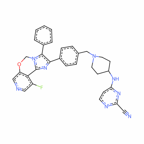 N#Cc1nccc(NC2CCN(Cc3ccc(-c4nc5n(c4-c4ccccc4)COc4cncc(F)c4-5)cc3)CC2)n1